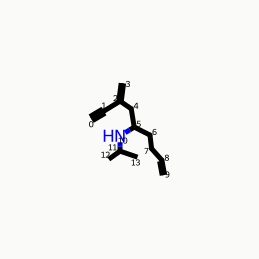 C#CC(=C)CC(CCC=C)NC(C)C